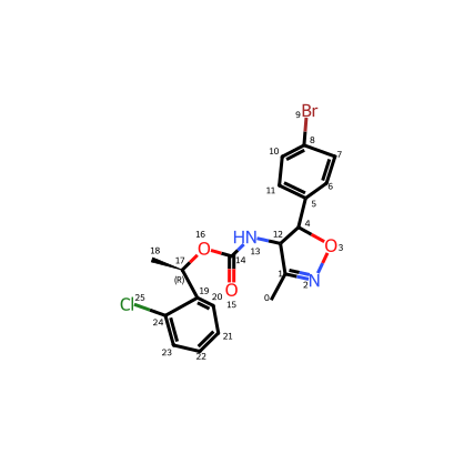 CC1=NOC(c2ccc(Br)cc2)C1NC(=O)O[C@H](C)c1ccccc1Cl